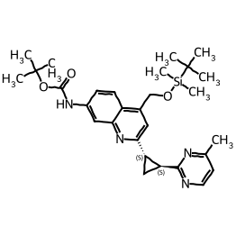 Cc1ccnc([C@H]2C[C@@H]2c2cc(CO[Si](C)(C)C(C)(C)C)c3ccc(NC(=O)OC(C)(C)C)cc3n2)n1